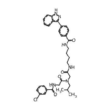 CC(C)CN(CC(=O)NCCCCNC(=O)c1ccc(-c2n[nH]c3ccccc23)cc1)C(=O)CNC(=O)c1cccc(Cl)c1